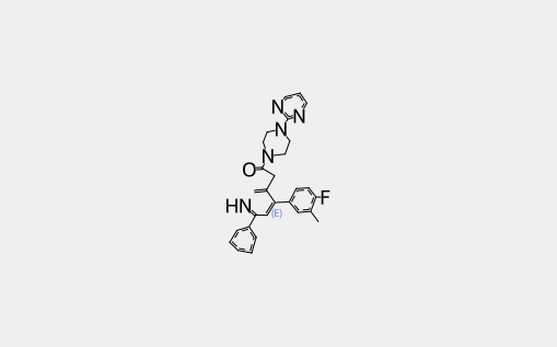 C=C(CC(=O)N1CCN(c2ncccn2)CC1)/C(=C\C(=N)c1ccccc1)c1ccc(F)c(C)c1